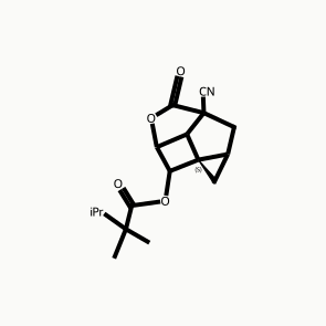 CC(C)C(C)(C)C(=O)OC1C2OC(=O)C3(C#N)CC4C[C@@]41C23